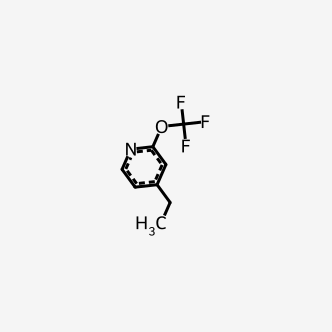 CCc1ccnc(OC(F)(F)F)c1